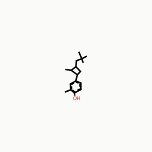 Cc1cc(C2CC(CC(C)(C)C)C2C)ccc1O